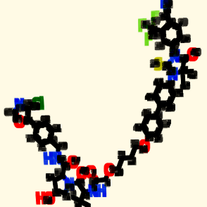 CC(C)(C)[C@H](NC(=O)COCCCCOc1ccc(-c2ccc(N3C(=S)N(c4ccc(C#N)c(C(F)(F)F)c4)C(=O)C3(C)C)cc2)cc1)C(=O)N1C[C@H](O)C[C@H]1C(=O)NCc1ccc(-c2ocnc2Cl)cc1